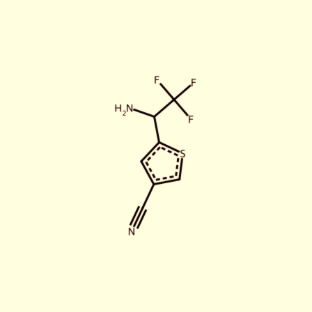 N#Cc1csc(C(N)C(F)(F)F)c1